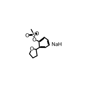 CS(=O)(=O)Oc1ccccc1C1CCCO1.[NaH]